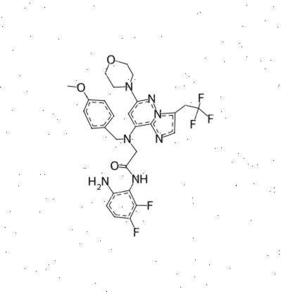 COc1ccc(CN(CC(=O)Nc2c(N)ccc(F)c2F)c2cc(N3CCOCC3)nn3c(CC(F)(F)F)cnc23)cc1